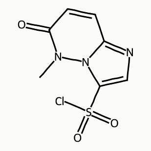 Cn1c(=O)ccc2ncc(S(=O)(=O)Cl)n21